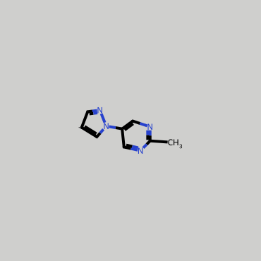 Cc1ncc(-n2c[c]cn2)cn1